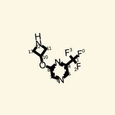 FC(F)(F)c1cncc(OC2CNC2)n1